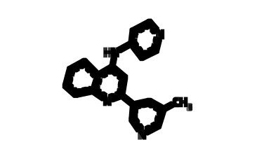 Cc1cncc(-c2cc(Nc3ccncc3)c3ccccc3n2)c1